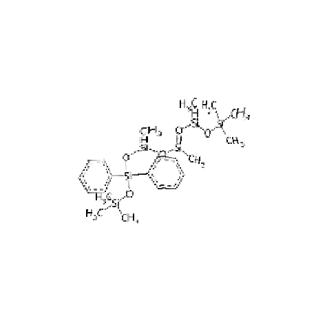 C[SiH](O[SiH](C)O[Si](C)(C)C)O[SiH](C)O[Si](O[Si](C)(C)C)(c1ccccc1)c1ccccc1